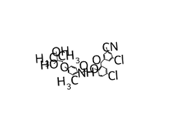 Cc1cc(OCC(O)C(C)(C)O)ccc1NC(=O)COc1ccc(Cl)cc1C(=O)c1cc(Cl)cc(C#N)c1